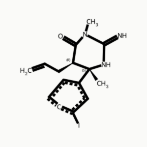 C=CC[C@H]1C(=O)N(C)C(=N)N[C@]1(C)c1cccc(I)c1